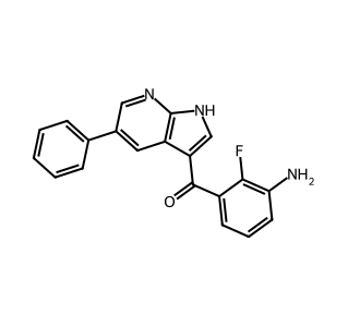 Nc1cccc(C(=O)c2c[nH]c3ncc(-c4ccccc4)cc23)c1F